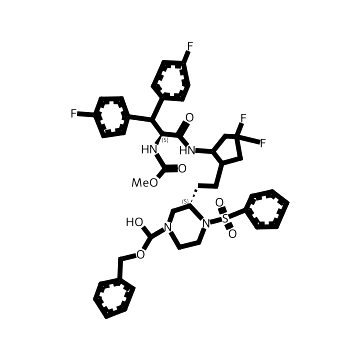 COC(=O)N[C@H](C(=O)NC1CC(F)(F)CC1CC[C@H]1CN(C(O)OCc2ccccc2)CCN1S(=O)(=O)c1ccccc1)C(c1ccc(F)cc1)c1ccc(F)cc1